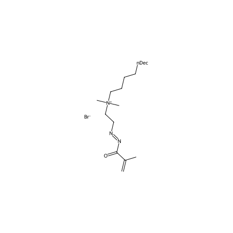 C=C(C)C(=O)N=NCC[N+](C)(C)CCCCCCCCCCCCCC.[Br-]